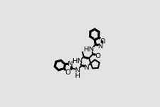 CC1=C(C(=O)Nc2noc3ccccc23)C2(CCCC2)N=C(Nc2nc3ccccc3o2)N1